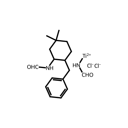 CC1(C)CCC(Cc2ccccc2)C(NC=O)C1.O=C[NH][Ti+2].[Cl-].[Cl-]